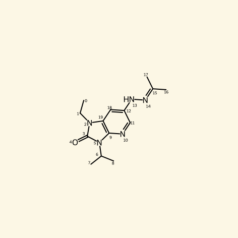 CCn1c(=O)n(C(C)C)c2ncc(NN=C(C)C)cc21